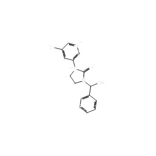 CC(c1ccccc1)N1CCN(c2cncc(Br)c2)C1=O